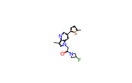 Cc1ccc(-c2cnc3c(C)cn(CC(=O)N4CC(F)C4)c3c2)s1